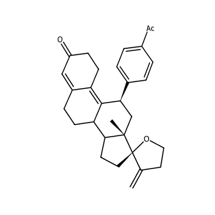 C=C1CCO[C@]12CCC1C3CCC4=CC(=O)CCC4=C3[C@@H](c3ccc(C(C)=O)cc3)C[C@@]12C